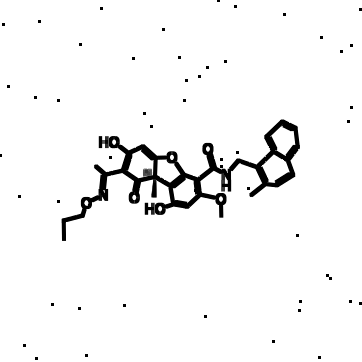 CCCON=C(C)C1=C(O)C=C2Oc3c(C(=O)NCc4c(C)ccc5ccccc45)c(OC)cc(O)c3[C@]2(C)C1=O